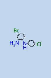 Nc1cc(Br)ccc1Nc1ccc(Cl)cc1